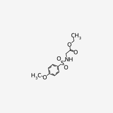 CCOC(=O)CNS(=O)(=O)c1ccc(OC)cc1